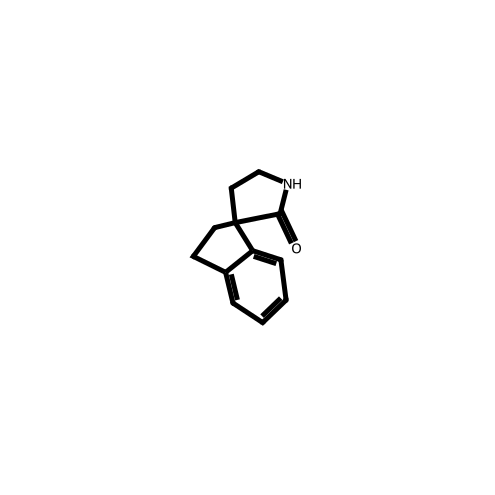 O=C1NCCC12CCc1ccccc12